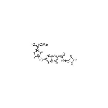 COC(=O)N1CC[C@@H](Oc2nc3sc(C(=O)NC4CCC4)cc3s2)C1